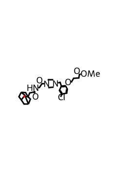 COC(=O)CCCOc1ccc(Cl)cc1CN1CCN(C(=O)CNC(=O)CC23CC4CC(CC(C4)C2)C3)CC1